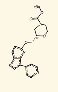 CC(C)(C)OC(=O)N1CCO[C@H](COc2ccc3scc(-c4ccncc4)c3n2)C1